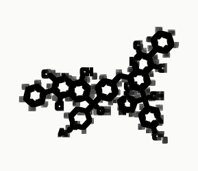 CC(=O)N1CCC(C(O)(c2ccc(Cc3cc(C(O)(c4ccc(C(F)(F)F)nc4)c4cncn4C)cc4c(Cl)c(-c5ccccc5)c(Cl)nc34)cc2)c2cc(C)c3nc(Cl)c(-c4ccccc4)c(Cl)c3c2)CC1